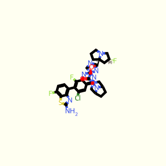 Nc1nc2c(-c3c(Cl)cc4c(N5C6CCC5CN(C(=O)n5cncn5)C6)nc(OC[C@@]56CCCN5C[C@H](F)C6)nc4c3F)ccc(F)c2s1